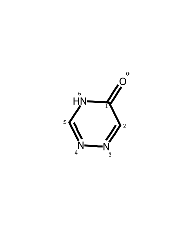 O=c1cnnc[nH]1